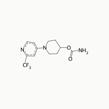 NC(=O)OC1CCN(c2ccnc(C(F)(F)F)c2)CC1